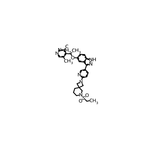 CCS(=O)(=O)N1CCCC2(CN(c3ccc(-c4n[nH]c5ccc(O[C@H](C)c6c(C)cnnc6C)cc45)cn3)C2)C1